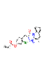 CC(C)COC(=O)Oc1ccc(CC(N)C(=O)N2CC(C)Cc3ccccc32)c(Br)c1